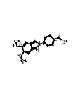 CNc1cc2cn([C@H]3CC[C@H](CO)CC3)nc2cc1OC